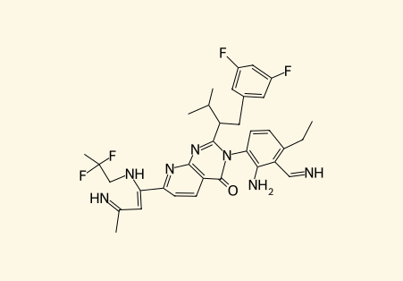 CCc1ccc(-n2c(C(Cc3cc(F)cc(F)c3)C(C)C)nc3nc(/C(=C/C(C)=N)NCC(C)(F)F)ccc3c2=O)c(N)c1C=N